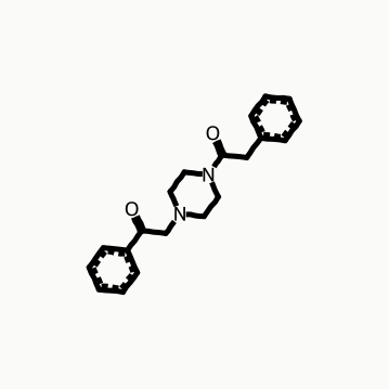 O=C(CN1CCN(C(=O)Cc2ccccc2)CC1)c1ccccc1